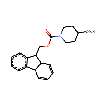 O=C(O)C1CCN(C(=O)OCC2c3ccccc3C3C=CC=CC32)CC1